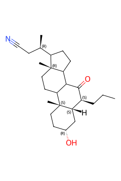 CCC[C@@H]1C(=O)C2C3CCC([C@H](C)CC#N)[C@@]3(C)CCC2[C@@]2(C)CC[C@@H](O)C[C@@H]12